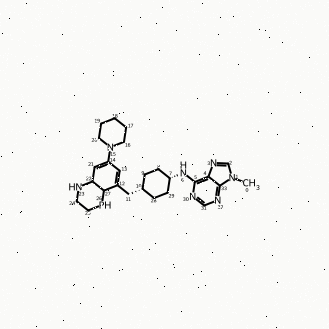 Cn1cnc2c(N[C@H]3CC[C@@H](CC4=CC(N5CCCCC5)=CC5NCCPC45)CC3)ncnc21